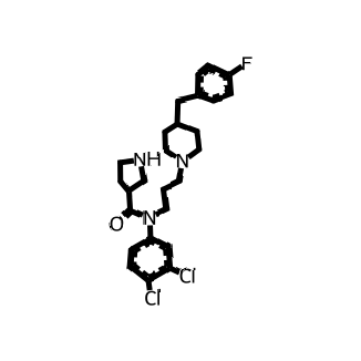 O=C(C1CCNC1)N(CCCN1CCC(Cc2ccc(F)cc2)CC1)c1ccc(Cl)c(Cl)c1